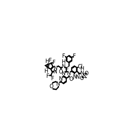 Cn1nc(NS(C)(=O)=O)c2c(Cl)ccc(-n3c([C@H](Cc4cc(F)cc(F)c4)NC(=O)Cn4nc(C(F)F)c5c4C(F)(F)[C@@H]4C[C@H]54)nc4nc(N5CCCOCC5)ccc4c3=O)c21